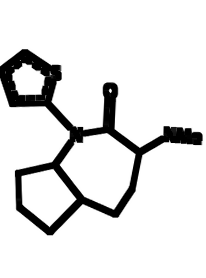 CNC1CCC2CCCC2N(c2cccs2)C1=O